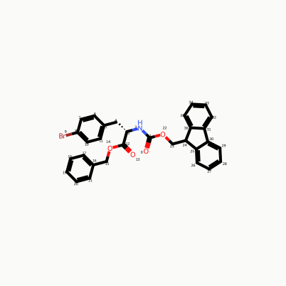 O=C(N[C@@H](Cc1ccc(Br)cc1)C(=O)OCc1ccccc1)OCC1c2ccccc2-c2ccccc21